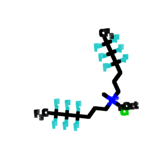 CCCCCCCC[N+](C)(CCCC(F)(F)C(F)(F)C(F)(F)C(F)(F)F)CCCC(F)(F)C(F)(F)C(F)(F)C(F)(F)F.[Cl-]